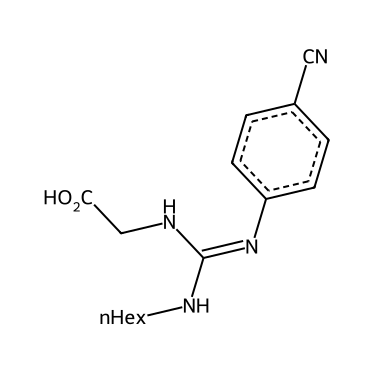 CCCCCCNC(=Nc1ccc(C#N)cc1)NCC(=O)O